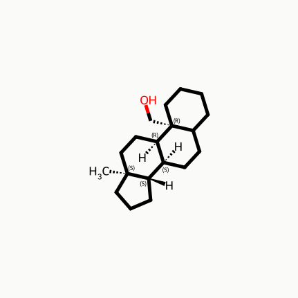 C[C@@]12CCC[C@H]1[C@@H]1CCC3CCCC[C@]3(CO)[C@@H]1CC2